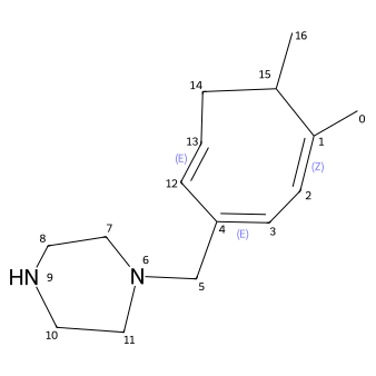 C/C1=C/C=C(CN2CCNCC2)\C=C\CC1C